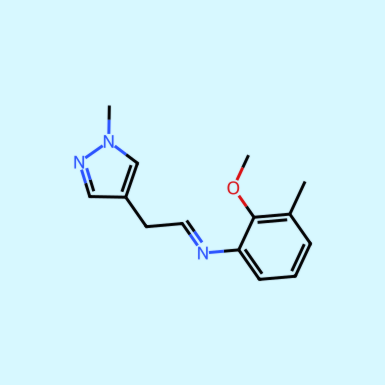 COc1c(C)cccc1N=CCc1cnn(C)c1